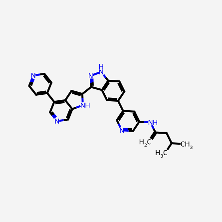 C=C(CC(C)C)Nc1cncc(-c2ccc3[nH]nc(-c4cc5c(-c6ccncc6)cncc5[nH]4)c3c2)c1